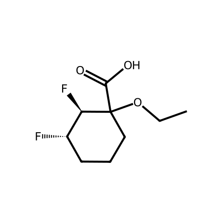 CCOC1(C(=O)O)CCC[C@H](F)[C@H]1F